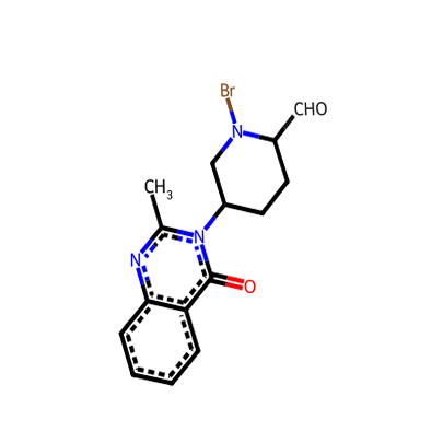 Cc1nc2ccccc2c(=O)n1C1CCC(C=O)N(Br)C1